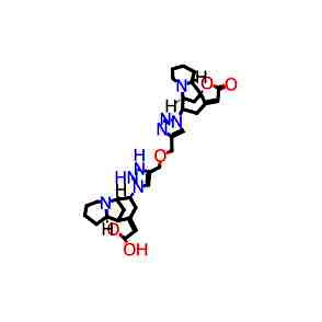 O=C1C=C2CC(n3cc(COCC4=CN([C@H]5CC6=CC(O)O[C@@]67C[C@@H]5N5CCCC[C@@H]57)NN4)nn3)[C@@H]3C[C@@]2(O1)[C@H]1CCCCN31